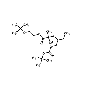 CCC(COC(=O)OC(C)(C)C)OC(C)(C)C(=O)OCCOC(C)(C)C